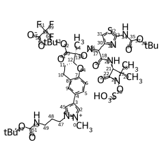 C[n+]1cc(-c2ccc3c(c2)CC[C@H]([C@](C)(O/N=C(\C(=O)N[C@@H]2C(=O)N(OS(=O)(=O)O)C2(C)C)c2csc(NC(=O)OC(C)(C)C)n2)C(=O)OC(C)(C)C)O3)cn1CCCNC(=O)OC(C)(C)C.O=C([O-])C(F)(F)F